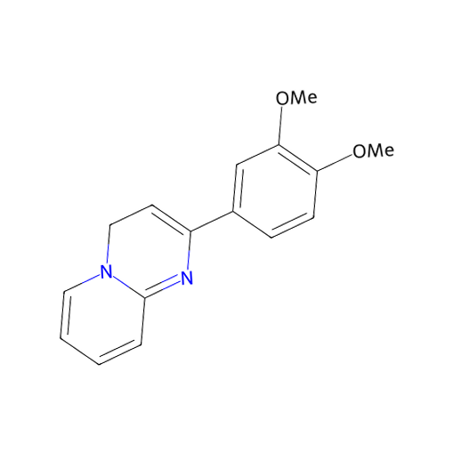 COc1ccc(C2=CCN3C=CC=CC3=N2)cc1OC